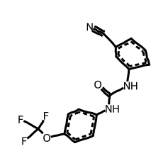 N#Cc1cccc(NC(=O)Nc2ccc(OC(F)(F)F)cc2)c1